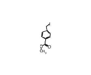 COC(=O)c1ccc(CI)cc1